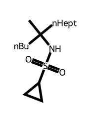 CCCCCCCC(C)(CCCC)NS(=O)(=O)C1CC1